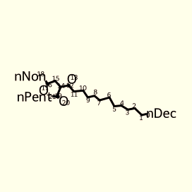 CCCCCCCCCCCCCCCCCCCCCC(=O)C(CC(=O)CCCCCCCCC)C(=O)CCCCC